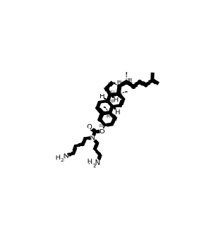 CC(C)CCC[C@@H](C)[C@H]1CC[C@H]2[C@@H]3CC=C4C[C@@H](OC(=O)N(CCCN)CCCCN)CC[C@]4(C)[C@H]3CC[C@]12C